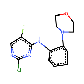 Fc1cnc(Cl)nc1Nc1ccccc1N1CCOCC1